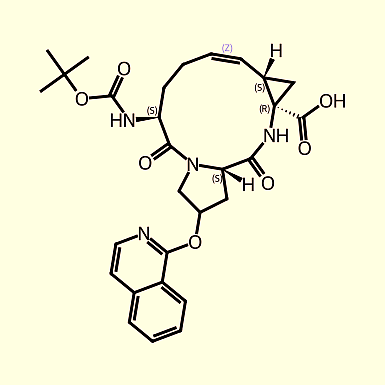 CC(C)(C)OC(=O)N[C@H]1CC/C=C\[C@@H]2C[C@@]2(C(=O)O)NC(=O)[C@@H]2CC(Oc3nccc4ccccc34)CN2C1=O